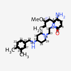 C=C/C(=C\c1c(N)ccc(=O)n1CCN1CCC(NCc2ccc(C)c(C)c2)CC1)OC